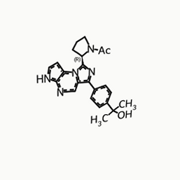 CC(=O)N1CCC[C@@H]1c1nc(-c2ccc(C(C)(C)O)cc2)c2cnc3[nH]ccc3n12